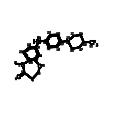 CN1C(=O)CCOc2cc(Nc3ccc(N4CCC(C(F)(F)F)CC4)cc3)ccc21